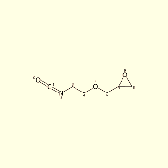 O=C=NCCOCC1CO1